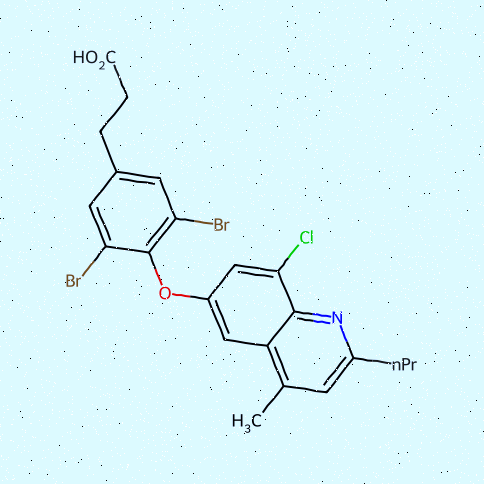 CCCc1cc(C)c2cc(Oc3c(Br)cc(CCC(=O)O)cc3Br)cc(Cl)c2n1